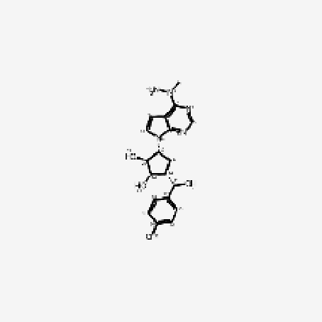 CN(N)c1ncnc2c1ccn2[C@@H]1C[C@H](C(O)c2ccc(Cl)cc2)[C@@H](O)[C@H]1O